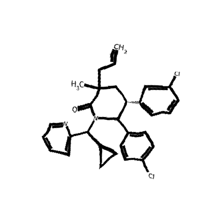 C=CCC1(C)C[C@H](c2cccc(Cl)c2)C(c2ccc(Cl)cc2)N(C(c2ccccn2)C2CC2)C1=O